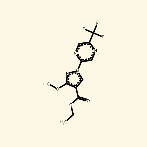 CCOC(=O)c1cn(-c2cnc(C(F)(F)F)cn2)nc1OC